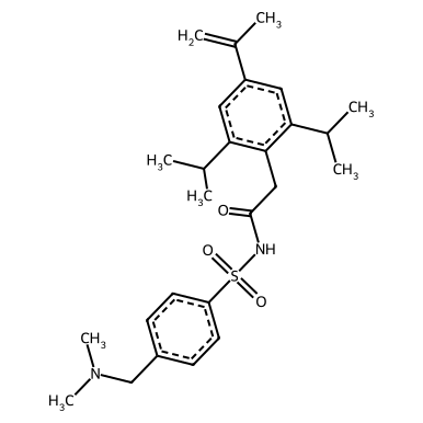 C=C(C)c1cc(C(C)C)c(CC(=O)NS(=O)(=O)c2ccc(CN(C)C)cc2)c(C(C)C)c1